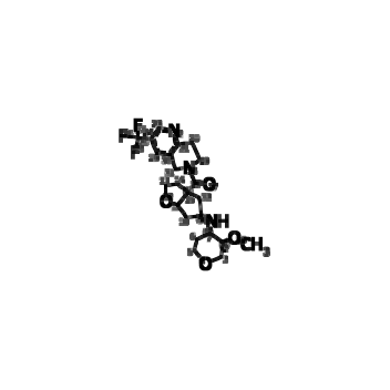 CO[C@H]1COCC[C@H]1N[C@@H]1CC2OCC[C@@]2(C(=O)N2CCc3ncc(C(F)(F)F)cc3C2)C1